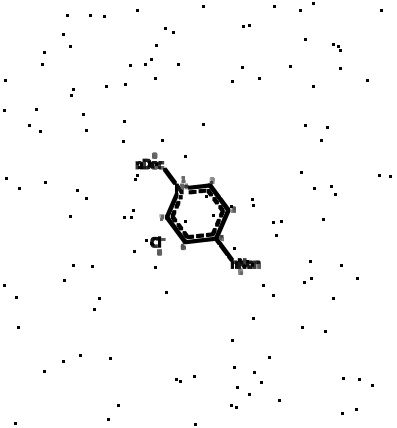 CCCCCCCCCC[n+]1ccc(CCCCCCCCC)cc1.[Cl-]